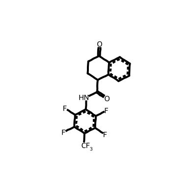 O=C1CCC(C(=O)Nc2c(F)c(F)c(C(F)(F)F)c(F)c2F)c2ccccc21